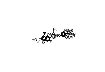 COc1c(N2CCN(C=[SH]c3ccc(CC(O)(P(=O)(O)O)P(=O)(O)O)cc3)C(C)C2)c(F)cc2c(=O)c(C(=O)O)cn(C3CC3)c12